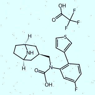 O=C(O)C(F)(F)F.O=C(O)N(C[C@H]1C[C@H]2CC[C@@H](C1)N2)c1cc(F)ccc1-c1ccsc1